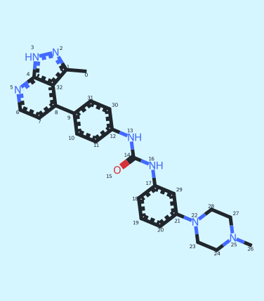 Cc1n[nH]c2nccc(-c3ccc(NC(=O)Nc4cccc(N5CCN(C)CC5)c4)cc3)c12